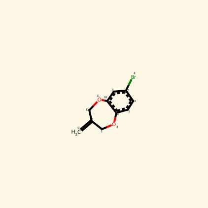 C=C1COc2ccc(Br)cc2OC1